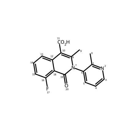 Cc1ncccc1-n1c(C)c(C(=O)O)c2cccc(F)c2c1=O